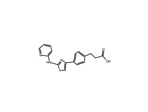 O=C(O)CCc1ccc(-c2csc(Nc3ccccn3)n2)cc1